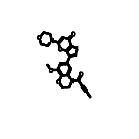 CC#CC(=O)N1CCOc2c(OC)cc(-c3csc4c(=O)cc(N5CCOCC5)oc34)cc21